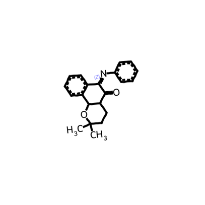 CC1(C)CCC2C(=O)/C(=N\c3ccccc3)c3ccccc3C2O1